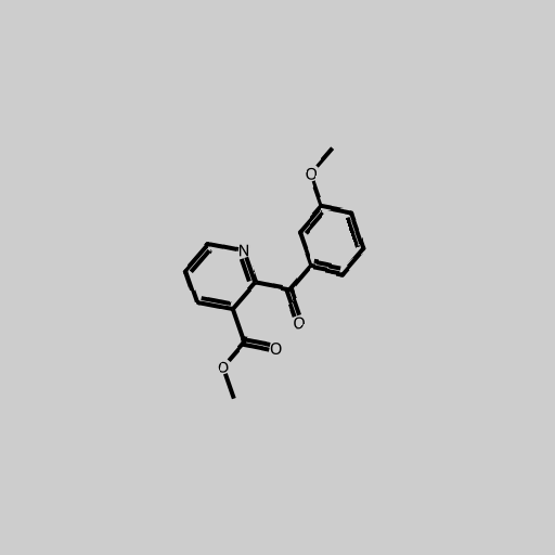 COC(=O)c1cccnc1C(=O)c1cccc(OC)c1